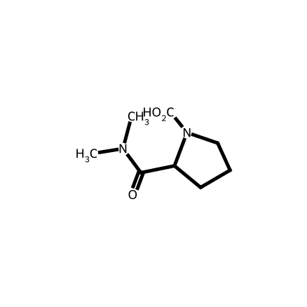 CN(C)C(=O)C1CCCN1C(=O)O